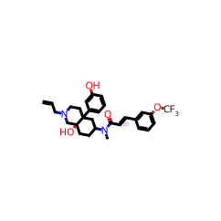 C=CCN1CCC2(c3cccc(O)c3)CC(N(C)C(=O)/C=C/c3cccc(OC(F)(F)F)c3)CCC2(O)C1